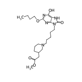 CCCCOc1nc(O)c2[nH]c(=O)n(CCCCCN3CCCC(CC(=O)OC)C3)c2n1